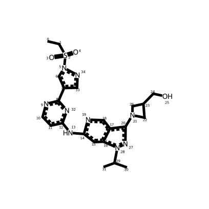 CCS(=O)(=O)n1cc(-c2nccc(Nc3cc4c(cn3)c(N3CC(CO)C3)nn4C(C)C)n2)cn1